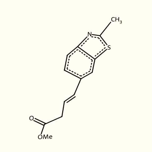 COC(=O)C/C=C/c1ccc2nc(C)sc2c1